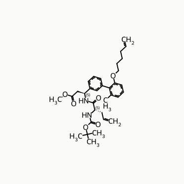 C=CCCCCOc1cccc(C)c1-c1cccc([C@H](CC(=O)OC)NC(=O)[C@H](CC=C)NC(=O)OC(C)(C)C)c1